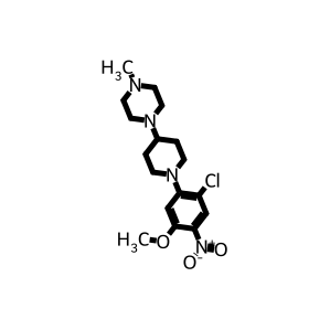 COc1cc(N2CCC(N3CCN(C)CC3)CC2)c(Cl)cc1[N+](=O)[O-]